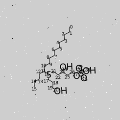 CCCCCCCCCCCC(CCCC)[S+](CCCO)CCC(O)CCOS(=O)(=O)O